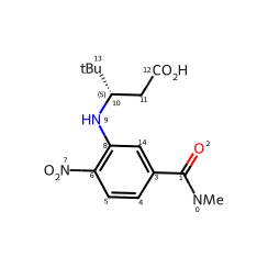 CNC(=O)c1ccc([N+](=O)[O-])c(N[C@@H](CC(=O)O)C(C)(C)C)c1